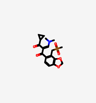 CN(C)/C=C(/C(=O)c1ccc2c(c1CS(C)(=O)=O)OCO2)C(=O)C1CC1